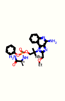 CCCCC(C)(CO[P@](=O)(N[C@@H](C)C(N)=O)Oc1ccccc1)n1c(COCC)nc2c(N)nc3ccccc3c21